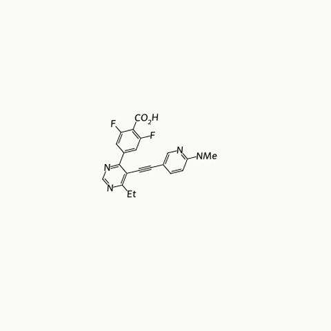 CCc1ncnc(-c2cc(F)c(C(=O)O)c(F)c2)c1C#Cc1ccc(NC)nc1